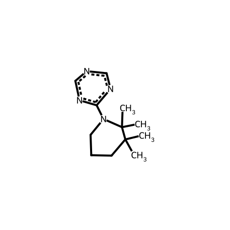 CC1(C)CCCN(c2ncncn2)C1(C)C